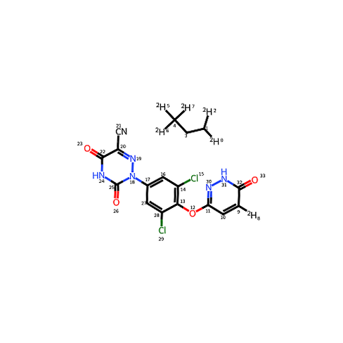 [2H]C([2H])CC([2H])([2H])[2H].[2H]c1cc(Oc2c(Cl)cc(-n3nc(C#N)c(=O)[nH]c3=O)cc2Cl)n[nH]c1=O